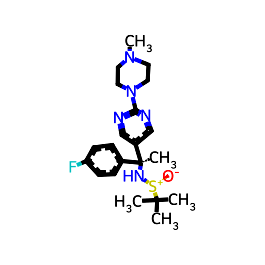 CN1CCN(c2ncc([C@@](C)(N[S@@+]([O-])C(C)(C)C)c3ccc(F)cc3)cn2)CC1